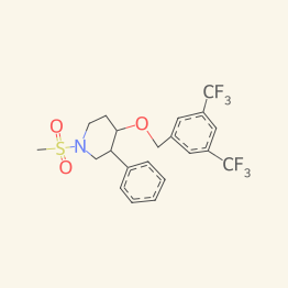 CS(=O)(=O)N1CCC(OCc2cc(C(F)(F)F)cc(C(F)(F)F)c2)C(c2ccccc2)C1